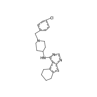 Clc1ccc(CN2CCC(Nc3ncnc4sc5c(c34)CCCC5)CC2)cc1